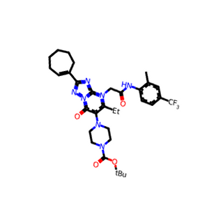 CCc1c(N2CCN(C(=O)OC(C)(C)C)CC2)c(=O)n2nc(C3=CCCCCC3)nc2n1CC(=O)Nc1ccc(C(F)(F)F)cc1C